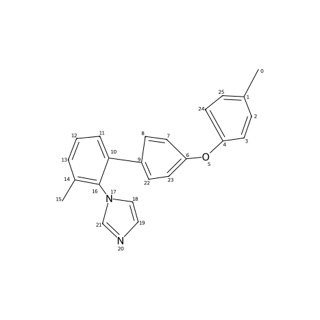 Cc1ccc(Oc2ccc(-c3cccc(C)c3-n3ccnc3)cc2)cc1